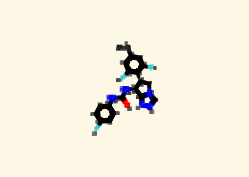 COc1cc(F)c([C@@H]2Cn3cnnc3[C@H]2NC(=O)Nc2ccc(F)cc2)c(F)c1